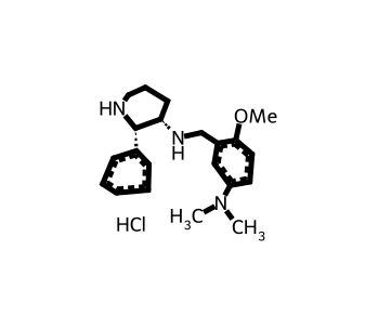 COc1ccc(N(C)C)cc1CN[C@H]1CCCN[C@H]1c1ccccc1.Cl